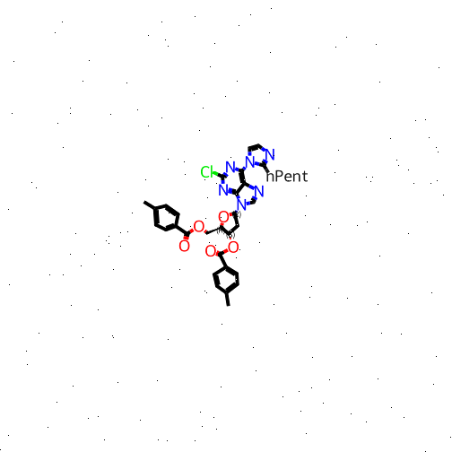 CCCCCc1nccn1-c1nc(Cl)nc2c1ncn2[C@H]1C[C@H](OC(=O)c2ccc(C)cc2)[C@@H](COC(=O)c2ccc(C)cc2)O1